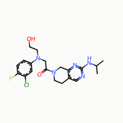 CC(C)Nc1ncc2c(n1)CN(C(=O)CN(CCO)c1ccc(F)c(Cl)c1)CC2